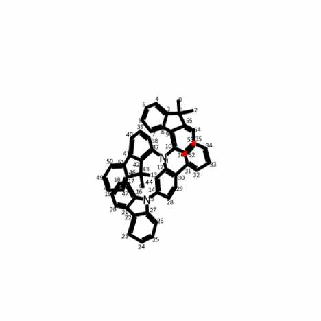 CC1(C)c2ccccc2-c2c(N(c3cc(-n4c5ccccc5c5ccccc54)ccc3-c3ccccc3)c3cccc4c3C(C)(C)c3ccccc3-4)cccc21